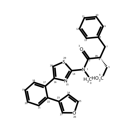 CN(C(=O)[C@@H](CC(=O)O)Cc1ccccc1)c1nc(-c2ccccc2-c2ccoc2)cs1